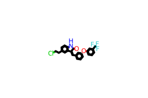 O=C1Nc2ccc(CCCl)cc2C1=Cc1cccc(Oc2cccc(C(F)(F)F)c2)c1